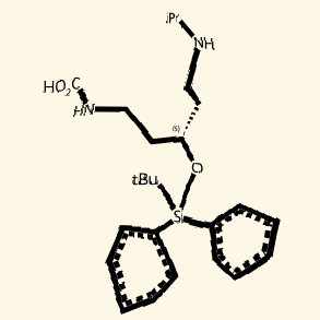 CC(C)NCC[C@@H](CCNC(=O)O)O[Si](c1ccccc1)(c1ccccc1)C(C)(C)C